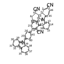 N#CC1=CC2C3=C(C=CCC3C#N)N(c3ccccc3-c3cccc(-c4ccc(-n5c6ccccc6c6ccccc65)cc4)c3C#N)C2C=C1